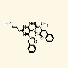 CCCSc1nc(N)c(N(C)C(=O)N(C)C(C=O)Cc2ccccc2)c(N(C=O)Cc2ccccc2)n1